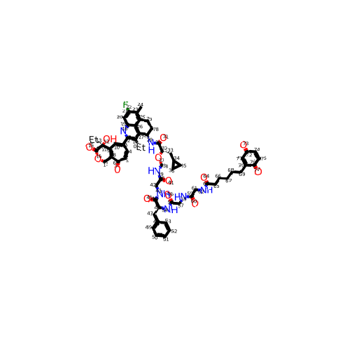 CCc1c(-c2ccc(=O)c3c(c2)[C@@](O)(CC)C(=O)OC3)nc2cc(F)c(C)c3c2c1[C@@H](NC(=O)[C@H](CC1CC1)OCNC(=O)CNC(=O)[C@H](Cc1ccccc1)NC(=O)CNC(=O)CNC(=O)CCCCCC1=CC(=O)C=CC1=O)CC3